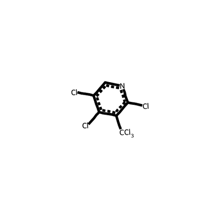 Clc1cnc(Cl)c(C(Cl)(Cl)Cl)c1Cl